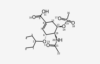 CCC(CC)O[C@@H]1C=C(C(=O)O)C[C@@H](OS(C)(=O)=O)[C@H]1NC(C)=O